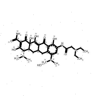 CCN(CC)CC(=O)Nc1cc(N(C)C)c2c(c1O)C(=O)C1=C(O)C3(O)C(=O)C(C(N)=O)=C(O)[C@@H](N(C)C)C3CC1C2.Cl